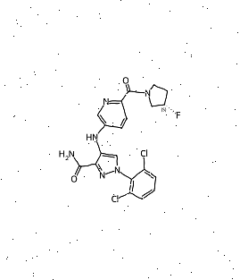 NC(=O)c1nn(-c2c(Cl)cccc2Cl)cc1Nc1ccc(C(=O)N2CC[C@H](F)C2)nc1